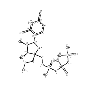 CSC[C@]1(COP(=O)(O)OP(=O)(O)OP(=O)(O)O)O[C@@H](n2ccc(=O)[nH]c2=O)[C@H](Cl)[C@@H]1O